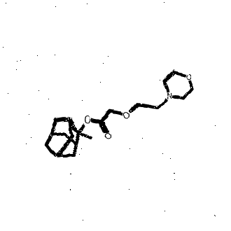 CC1(OC(=O)COCCN2CCOCC2)C2CC3CC(C2)CC1C3